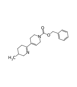 CC1CCC(C2=CCN(C(=O)OCc3ccccc3)CC2)=NC1